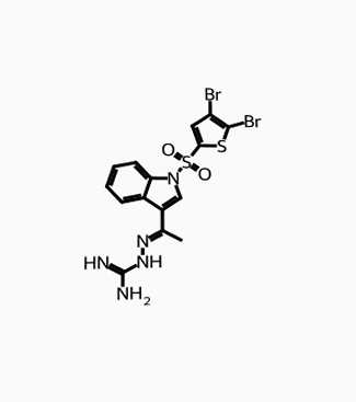 CC(=NNC(=N)N)c1cn(S(=O)(=O)c2cc(Br)c(Br)s2)c2ccccc12